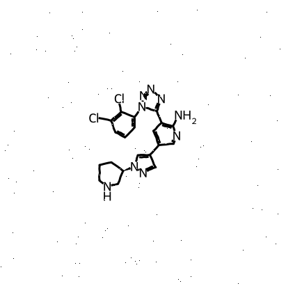 Nc1ncc(-c2cnn([C@@H]3CCCNC3)c2)cc1-c1nnnn1-c1cccc(Cl)c1Cl